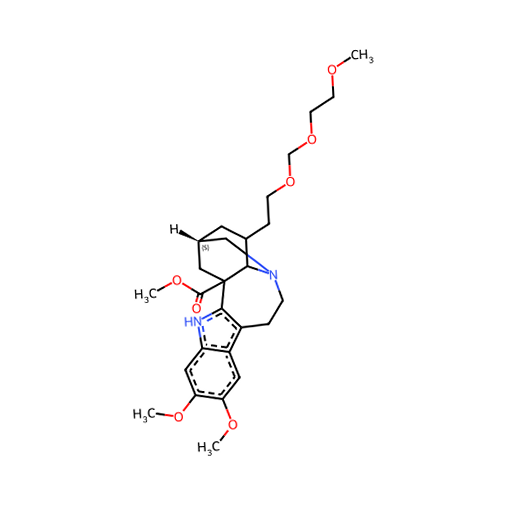 COCCOCOCCC1C[C@@H]2CN3CCc4c([nH]c5cc(OC)c(OC)cc45)C(C(=O)OC)(C2)C13